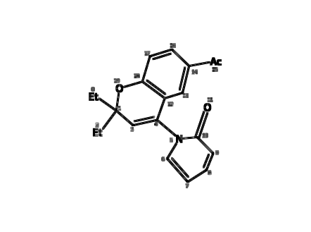 CCC1(CC)C=C(n2ccccc2=O)c2cc(C(C)=O)ccc2O1